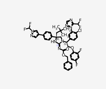 CC(C)(C)C[C@@]1(c2ccc(-c3cnn(C(F)F)c3)cc2)CN([C@H](COc2ccc(F)cc2F)c2ccc(Cl)c(-n3ncnc3C(F)F)c2)/C(=N\C(=O)OCc2ccccc2)N1